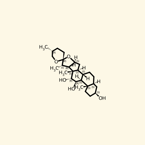 C[C@@H]1CC[C@@]2(OC1)O[C@H]1C[C@H]3[C@@H]4CC[C@H]5C[C@@H](O)CC[C@]5(C)[C@H]4[C@@H](O)[C@H](O)[C@]3(C)[C@H]1[C@@H]2C